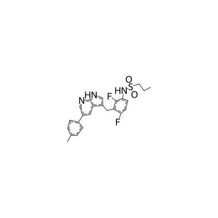 CCCS(=O)(=O)Nc1ccc(F)c(Cc2c[nH]c3ncc(-c4ccc(C)cc4)cc23)c1F